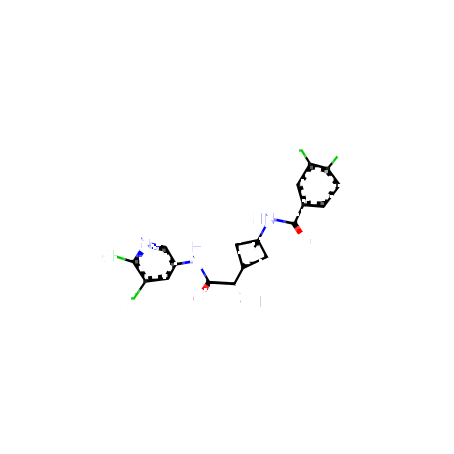 C[C@H](C(=O)Nc1cnc(Cl)c(Cl)c1)C12CC(NC(=O)c3ccc(Cl)c(Cl)c3)(C1)C2